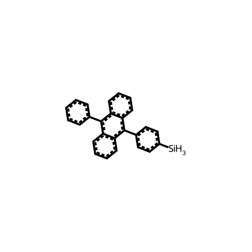 [SiH3]c1ccc(-c2c3ccccc3c(-c3ccccc3)c3ccccc23)cc1